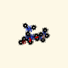 c1ccc(-c2nc(-c3ccccc3)nc(-c3ccc(-n4c5ccccc5c5c6oc7ccccc7c6ccc54)c(-c4nc(-c5ccccc5)nc(-c5ccc(-c6ccc7c8c6N(c6ccccc6)c6ccccc6B8c6ccccc6N7c6ccccc6)cc5)n4)c3)n2)cc1